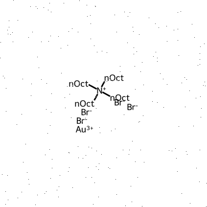 CCCCCCCC[N+](CCCCCCCC)(CCCCCCCC)CCCCCCCC.[Au+3].[Br-].[Br-].[Br-].[Br-]